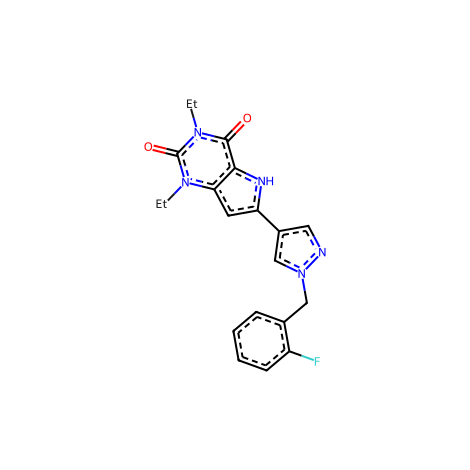 CCn1c(=O)c2[nH]c(-c3cnn(Cc4ccccc4F)c3)cc2n(CC)c1=O